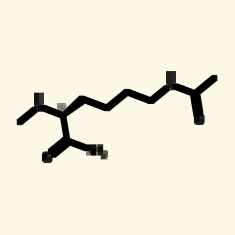 CN[C@@H](CCCCNC(C)=O)C(N)=O